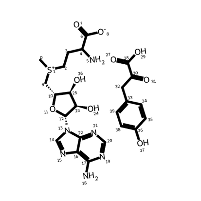 C[S+](CCC(N)C(=O)[O-])C[C@H]1O[C@@H](n2cnc3c(N)ncnc32)[C@H](O)[C@@H]1O.O=C(O)C(=O)Cc1ccc(O)cc1